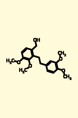 COc1ccc(CCc2c(CO)ccc(OC)c2OC)cc1OC